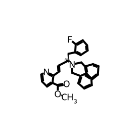 COC(=O)c1cccnc1C=C[C@@H](Cc1ccccc1F)N(Cc1ccccc1)Cc1ccccc1